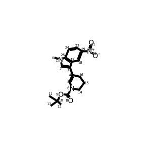 Cn1cc(C2=CN(C(=O)OC(C)(C)C)CCC2)c2cc([N+](=O)[O-])ccc21